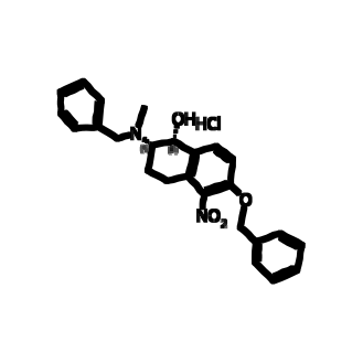 CN(Cc1ccccc1)[C@H]1CCc2c(ccc(OCc3ccccc3)c2[N+](=O)[O-])[C@H]1O.Cl